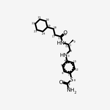 C[C@@H](CNc1ccc(SC(N)=O)cc1)NC(=O)[CH]CC1CCCCC1